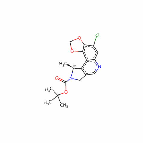 C[C@H]1c2c(cnc3cc(Cl)c4c(c23)OCO4)CN1C(=O)OC(C)(C)C